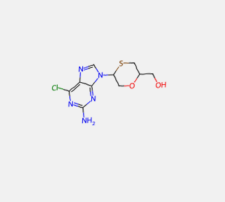 Nc1nc(Cl)c2ncn(C3COC(CO)CS3)c2n1